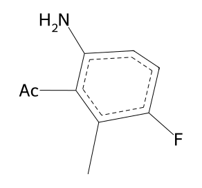 CC(=O)c1c(N)ccc(F)c1C